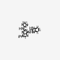 CC(C)n1cnc2c(NCc3nc4ccccc4[nH]3)nc(Nc3cnccn3)nc21